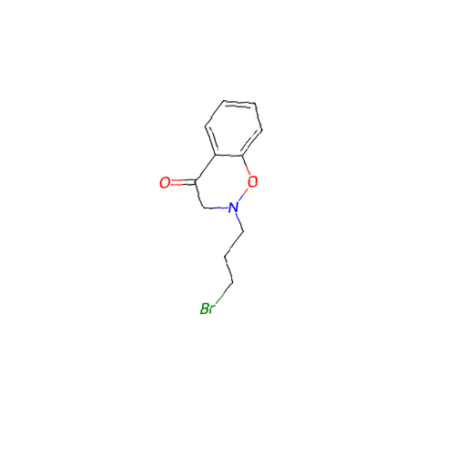 O=C1CN(CCCBr)Oc2ccccc21